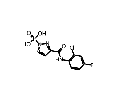 O=C(Nc1ccc(F)cc1Cl)c1cnn(P(=O)(O)O)n1